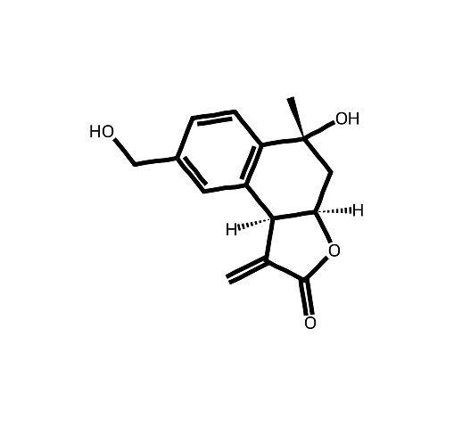 C=C1C(=O)O[C@@H]2C[C@@](C)(O)c3ccc(CO)cc3[C@H]12